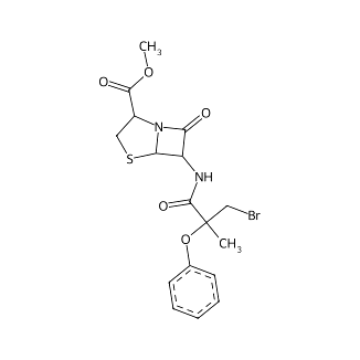 COC(=O)C1CSC2C(NC(=O)C(C)(CBr)Oc3ccccc3)C(=O)N12